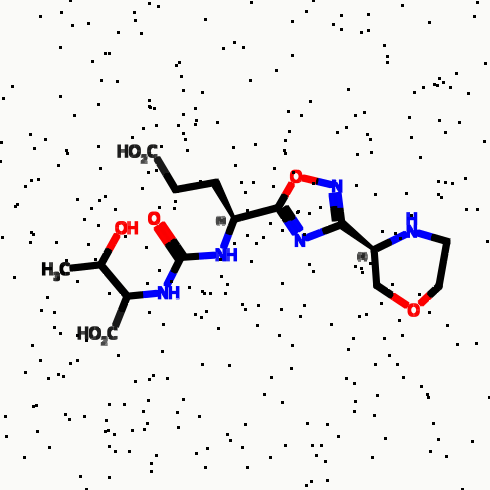 CC(O)C(NC(=O)N[C@@H](CCC(=O)O)c1nc([C@@H]2COCCN2)no1)C(=O)O